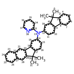 CC1(C)c2ccccc2-c2ccc(N(c3ccc4c(c3)-c3cc5ccccc5cc3C4(C)C)c3ccccn3)cc21